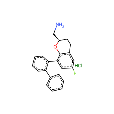 Cl.NC[C@H]1CCc2cc(F)cc(-c3ccccc3-c3ccccc3)c2O1